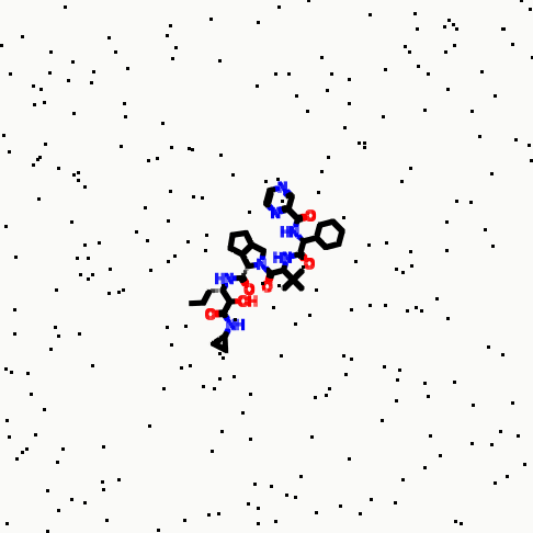 CCC[C@H](NC(=O)[C@@H]1C2CCCC2CN1C(=O)C(NC(=O)[C@@H](NC(=O)c1cnccn1)C1CCCCC1)C(C)(C)C)C(O)C(=O)NC1CC1